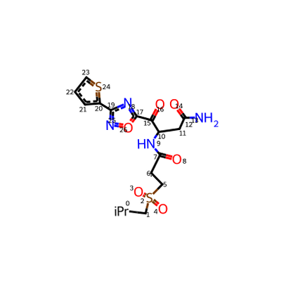 CC(C)CS(=O)(=O)C[CH]C(=O)NC(CC(N)=O)C(=O)c1nc(-c2cccs2)no1